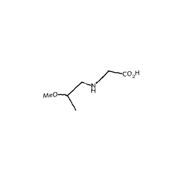 COC(C)CNCC(=O)O